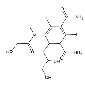 CN(C(=O)CO)c1c(I)c(C(N)=O)c(I)c(C(N)=O)c1CC(O)CO